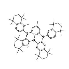 Cc1cc2c3c(c1)N(c1ccc4c(c1C)C(C)(C)CCC4(C)C)c1c(sc4c1C(C)(C)CCC4(C)C)B3c1cc3c(cc1N2c1ccc2c(c1)C(C)(C)CCC2(C)C)C(C)(C)CCC3(C)C